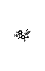 C#Cc1c(F)cc(C(C)O)c(-c2cccc(F)c2)c1N=NN(CC)CC